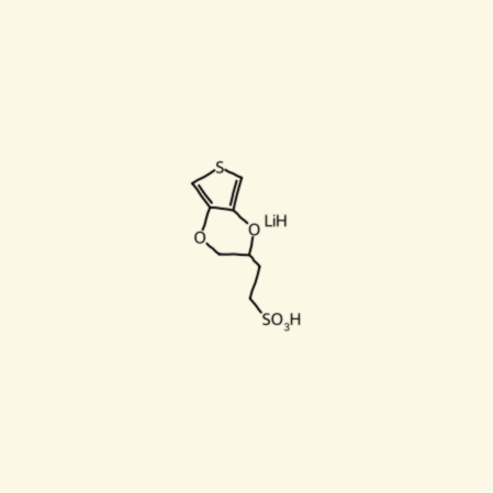 O=S(=O)(O)CCC1COc2cscc2O1.[LiH]